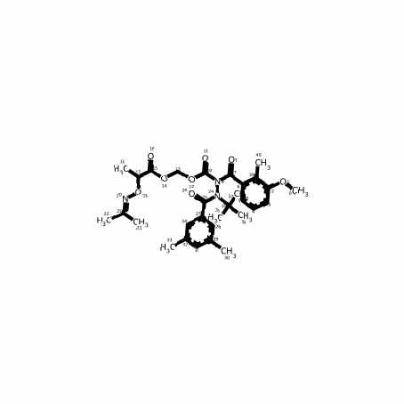 COc1cccc(C(=O)N(C(=O)OCOC(=O)C(C)ON=C(C)C)N(C(=O)c2cc(C)cc(C)c2)C(C)(C)C)c1C